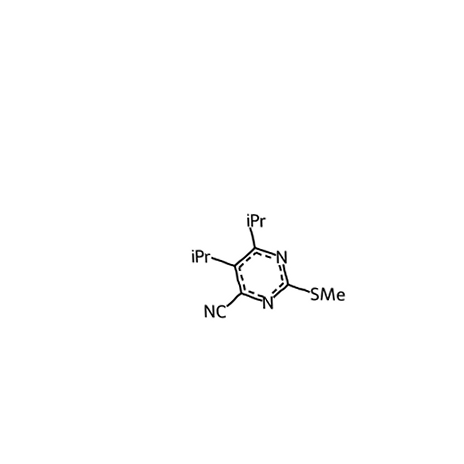 CSc1nc(C#N)c(C(C)C)c(C(C)C)n1